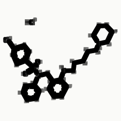 Cl.O=S(=O)(c1ccc(Cl)cc1)N(Cc1ccccc1OCCCCCN1CCCCC1)c1ccccc1